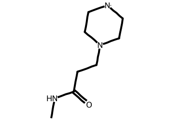 CNC(=O)CCN1CC[N]CC1